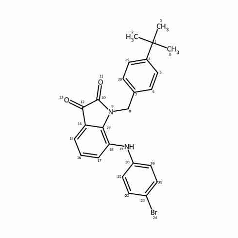 CC(C)(C)c1ccc(CN2C(=O)C(=O)c3cccc(Nc4ccc(Br)cc4)c32)cc1